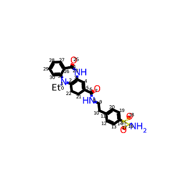 CCN1C2=C(C=C(C(=O)NCCc3ccc(S(N)(=O)=O)cc3)CC2)NC(=O)c2ccccc21